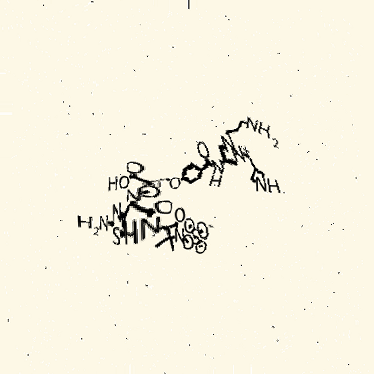 CC1(C)C(NC(=O)C(=NO[C@@H](COc2ccc(C(=O)Nc3cn(CCCN)[n+](CC4CNC4)c3)cc2)C(=O)O)c2csc(N)n2)C(=O)N1OS(=O)(=O)[O-]